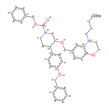 COCCCN1CCOc2ccc(COC3CN(C(=O)OCc4ccccc4)CCC3c3ccc(OCc4ccccc4)cc3)cc21